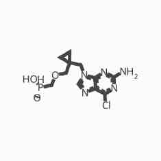 Nc1nc(Cl)c2ncn(CC3(COC[PH](=O)O)CC3)c2n1